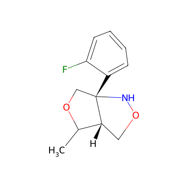 CC1OC[C@]2(c3ccccc3F)NOC[C@H]12